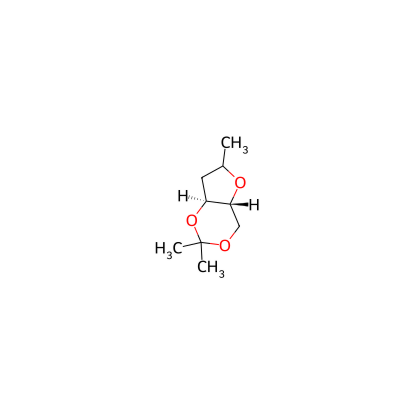 CC1C[C@@H]2OC(C)(C)OC[C@H]2O1